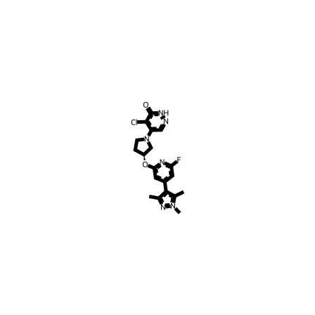 Cc1nn(C)c(C)c1-c1cc(F)nc(O[C@@H]2CCN(c3cn[nH]c(=O)c3Cl)C2)c1